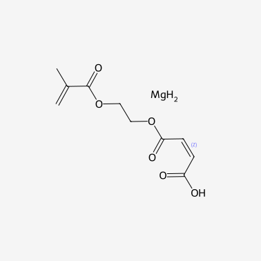 C=C(C)C(=O)OCCOC(=O)/C=C\C(=O)O.[MgH2]